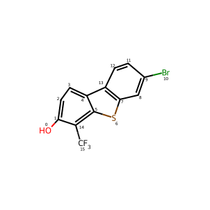 Oc1ccc2c(sc3cc(Br)ccc32)c1C(F)(F)F